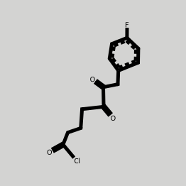 O=C(Cl)CCCC(=O)C(=O)Cc1ccc(F)cc1